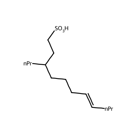 CCCC=CCCCC(CCC)CCS(=O)(=O)O